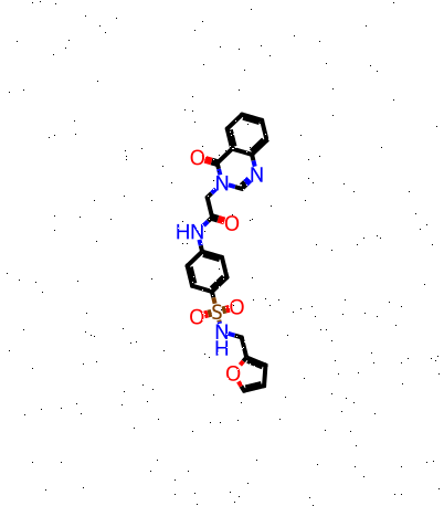 O=C(Cn1cnc2ccccc2c1=O)Nc1ccc(S(=O)(=O)NCc2ccco2)cc1